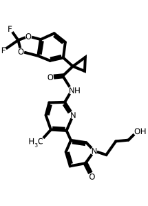 Cc1ccc(NC(=O)C2(c3ccc4c(c3)OC(F)(F)O4)CC2)nc1-c1ccc(=O)n(CCCO)c1